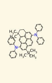 CC1(C)CCc2cc(N(c3ccccc3)c3ccccc3)c3ccc4c([Si](C)(C)C)cc(N(c5ccccc5)c5ccccc5)c5cc1c2c3c54